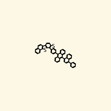 c1ccc(-c2ccc(-c3c4ccccc4c(-c4ccc5c(c4)sc4ccc6c7ccc8ccccc8c7sc6c45)c4ccccc34)c3ccccc23)cc1